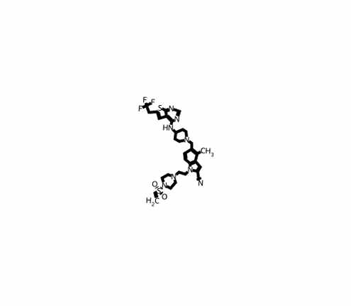 C=CS(=O)(=O)N1CCN(CCn2c(C#N)cc3c(C)c(CN4CCC(Nc5ncnc6sc(CC(F)(F)F)cc56)CC4)ccc32)CC1